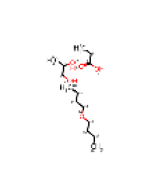 CC(O)CO.CCC(=O)O.CCCCOCCCC